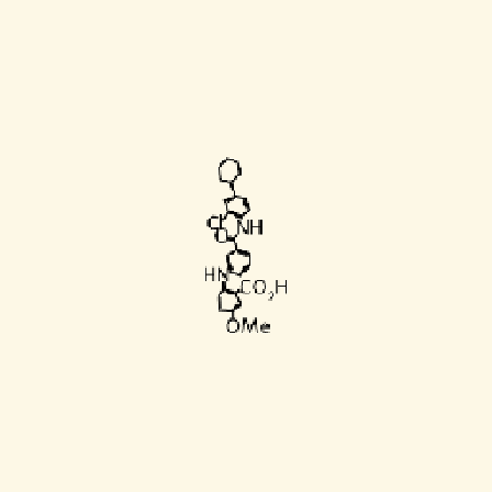 COc1ccc(Nc2cccc(C(=O)Nc3ccc(C4CCCCC4)cc3Cl)c2)c(C(=O)O)c1